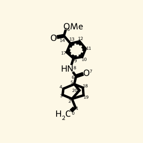 C=CC12CCC(C(=O)Nc3cccc(C(=O)OC)c3)(CC1)C2